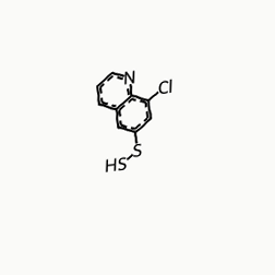 SSc1cc(Cl)c2ncccc2c1